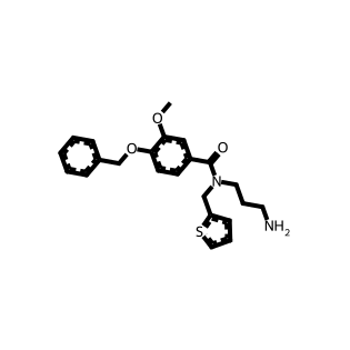 COc1cc(C(=O)N(CCCN)Cc2cccs2)ccc1OCc1ccccc1